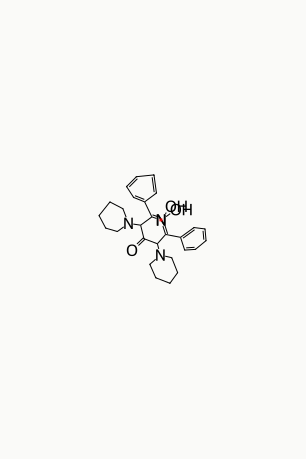 O=C(C(C(=NO)c1ccccc1)N1CCCCC1)C(C(=NO)c1ccccc1)N1CCCCC1